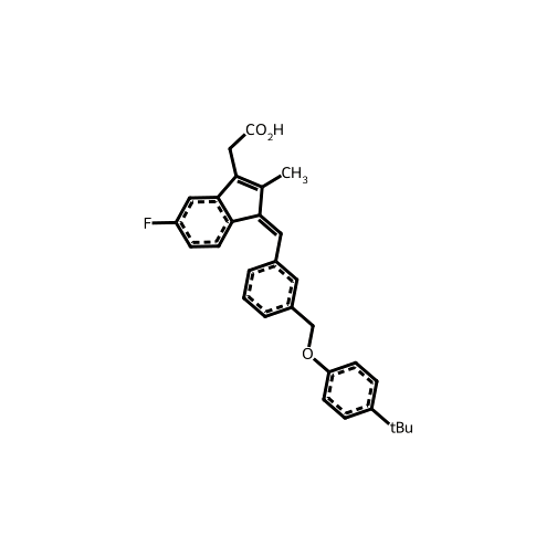 CC1=C(CC(=O)O)c2cc(F)ccc2/C1=C\c1cccc(COc2ccc(C(C)(C)C)cc2)c1